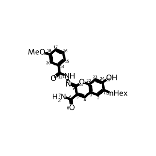 CCCCCCc1cc2cc(C(N)=O)c(=NNC(=O)c3cccc(OC)c3)oc2cc1O